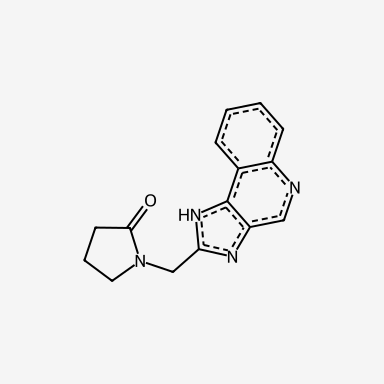 O=C1CCCN1Cc1nc2cnc3ccccc3c2[nH]1